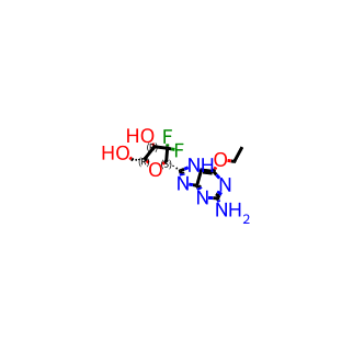 CCOc1nc(N)nc2nc([C@@H]3O[C@H](CO)[C@@H](O)C3(F)F)[nH]c12